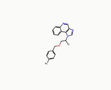 CCC(COCc1ccc(C#N)cc1)n1cnc2cnc3ccccc3c21